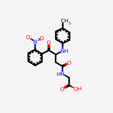 Cc1ccc(NC(CC(=O)NCC(=O)O)C(=O)c2ccccc2[N+](=O)[O-])cc1